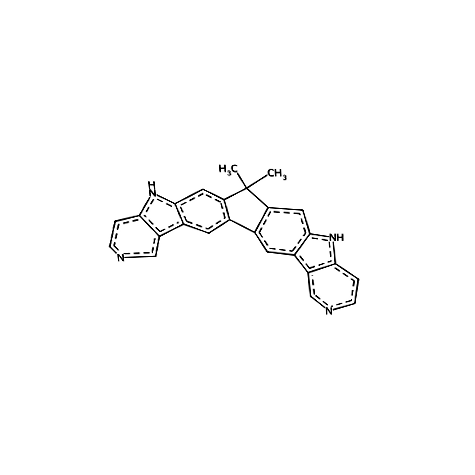 CC1(C)c2cc3[nH]c4ccncc4c3cc2-c2cc3c(cc21)[nH]c1ccncc13